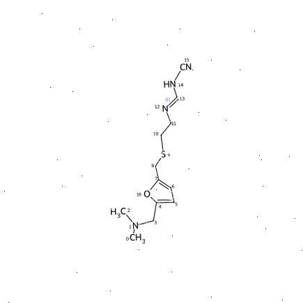 CN(C)Cc1ccc(CSCC/N=C/NC#N)o1